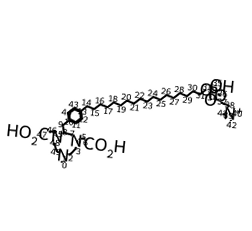 CN1CCN(CC(=O)O)CC(Cc2ccc(CCCCCCCCCCCCCCCCCCOP(=O)(O)OCC[N+](C)(C)C)cc2)N(CC(=O)O)CC1